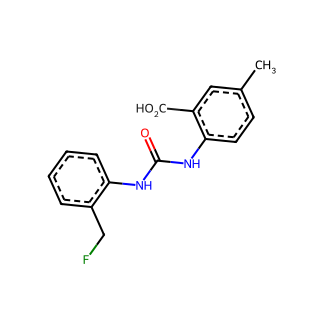 Cc1ccc(NC(=O)Nc2ccccc2CF)c(C(=O)O)c1